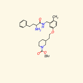 Cc1ccc(OCCC2CCCN(C(=O)OC(C)(C)C)C2)cc1CNC(=O)C(N)CCc1ccccc1